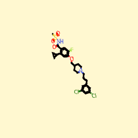 CS(=O)(=O)NC(=O)c1cc(F)c(OCC2CCN(CCCc3cc(Cl)cc(Cl)c3)CC2)cc1C1CC1